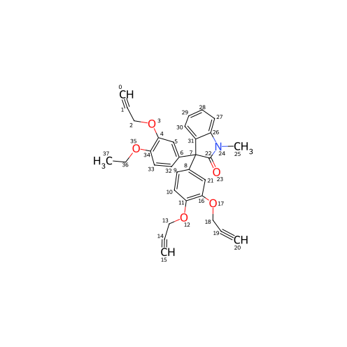 C#CCOc1cc(C2(c3ccc(OCC#C)c(OCC#C)c3)C(=O)N(C)c3ccccc32)ccc1OCC